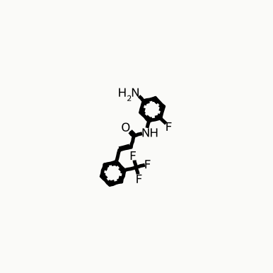 Nc1ccc(F)c(NC(=O)C=Cc2ccccc2C(F)(F)F)c1